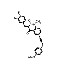 COc1ccc(CC#Cc2ccc3c(c2)C(=O)/C(=C/c2ccc(F)c(F)c2)[S+]([O-])N3C)cc1